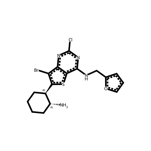 N[C@@H]1CCCC[C@H]1c1sc2c(NCc3ccco3)nc(Cl)nc2c1Br